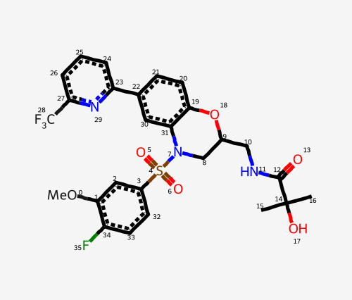 COc1cc(S(=O)(=O)N2CC(CNC(=O)C(C)(C)O)Oc3ccc(-c4cccc(C(F)(F)F)n4)cc32)ccc1F